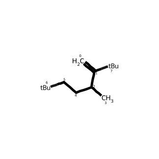 C=C(C(C)CCC(C)(C)C)C(C)(C)C